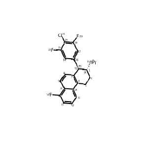 CCC[C@@H]1CCc2c(ccc3c(F)cccc23)[C@H]1c1cc(F)c(Cl)c(F)c1